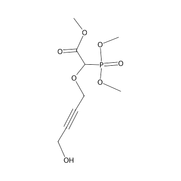 COC(=O)C(OCC#CCO)P(=O)(OC)OC